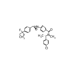 CCC(F)(F)c1ccc(CC(=O)Nc2ccc(C(=O)N(C)[C@@H](C)c3ccc(Cl)cc3)cc2)cc1